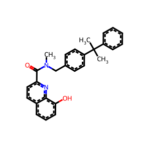 CN(Cc1ccc(C(C)(C)c2ccccc2)cc1)C(=O)c1ccc2cccc(O)c2n1